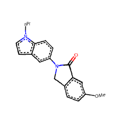 CCCn1ccc2cc(N3Cc4ccc(OC)cc4C3=O)ccc21